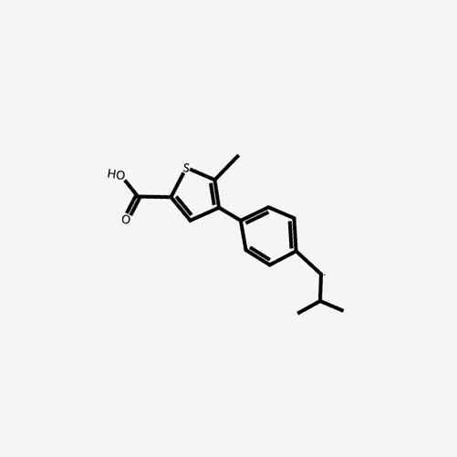 Cc1sc(C(=O)O)cc1-c1ccc([CH]C(C)C)cc1